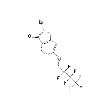 O=C1c2ccc(OCC(F)(F)C(F)(F)C(F)(F)F)cc2CC1Br